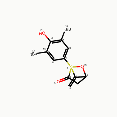 C=C1C2CC(=O)S1(c1cc(C(C)(C)C)c(O)c(C(C)(C)C)c1)O2